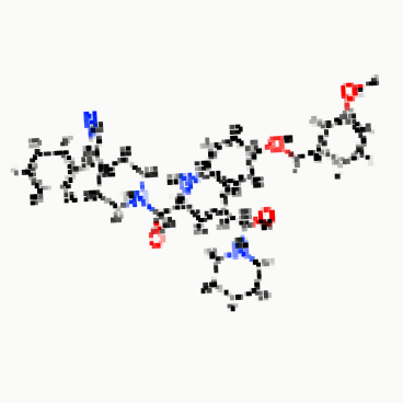 COc1cccc(COc2ccc3nc(C(=O)N4CCC(C#N)(c5ccccc5)CC4)cc(C(=O)N4CCCCC4)c3c2)c1